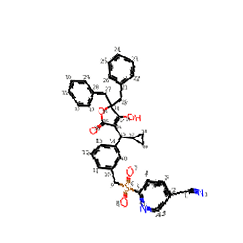 N#Cc1ccc(S(=O)(=O)Cc2cccc(C(C3=C(O)C(Cc4ccccc4)(Cc4ccccc4)OC3=O)C3CC3)c2)nc1